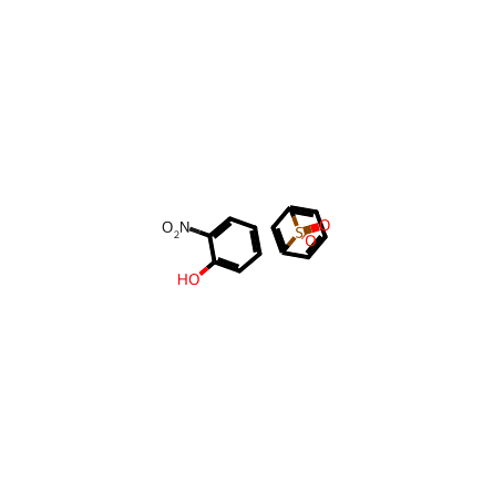 O=S1(=O)c2cccc1c2.O=[N+]([O-])c1ccccc1O